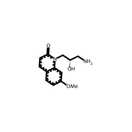 COc1ccc2ccc(=O)n(C[C@@H](O)CN)c2c1